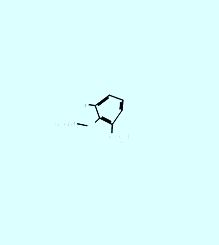 CCCCCOc1c(Br)cccc1C(=O)O